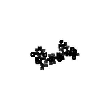 CS(=O)(=O)NC(=O)c1cc(-c2noc(C34CCC(/C=C/c5c(-c6c(Cl)cncc6Cl)noc5C5CC5)(CC3)CC4)n2)cc(C(F)(F)F)c1